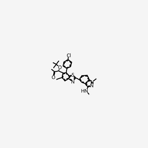 CNc1nn(C)c2ccc(-c3nc4cc(C)c([C@H](OC(C)(C)C)C(C)=O)c(-c5ccc(Cl)cc5)c4s3)cc12